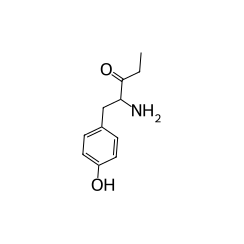 CCC(=O)C(N)Cc1ccc(O)cc1